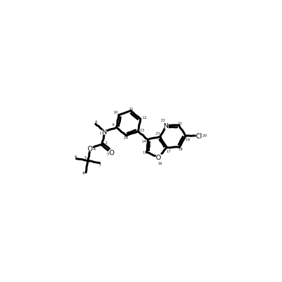 CN(C(=O)OC(C)(C)C)c1cccc(-c2coc3cc(Cl)cnc23)c1